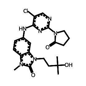 Cn1c(=O)n(CCC(C)(C)O)c2cc(Nc3nc(N4CCCC4=O)ncc3Cl)ccc21